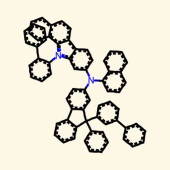 c1ccc(-c2cccc(C3(c4ccccc4)c4ccccc4-c4ccc(N(c5ccc6c7ccc8ccccc8c7n(-c7ccccc7-c7ccccc7)c6c5)c5cccc6ccccc56)cc43)c2)cc1